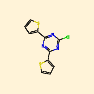 Clc1nc(-c2cccs2)nc(-c2cccs2)n1